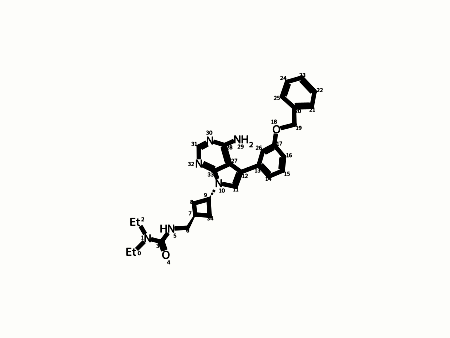 CCN(CC)C(=O)NC[C@H]1C[C@H](n2cc(-c3cccc(OCc4ccccc4)c3)c3c(N)ncnc32)C1